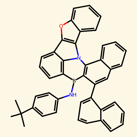 CC(C)(C)c1ccc(NB2c3c(-c4cccc5ccccc45)cc4ccccc4c3-n3c4c2cccc4c2oc4ccccc4c23)cc1